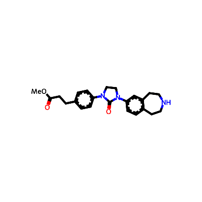 COC(=O)CCc1ccc(N2CCN(c3ccc4c(c3)CCNCC4)C2=O)cc1